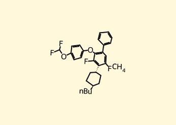 C.CCCC[C@H]1CC[C@H](c2c(F)cc(-c3ccccc3)c(Oc3ccc(OC(F)F)cc3)c2F)CC1